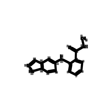 CNC(=O)c1ccccc1Nc1ccc2[nH]ncc2c1